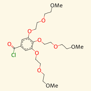 COCCOCCOc1cc(C(=O)Cl)cc(OCCOCCOC)c1OCCOCCOC